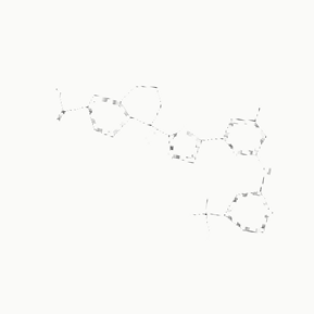 Cc1cc(Nc2cc(C(F)(F)F)ccn2)nc(-c2cnc([C@]3(O)CCCc4cc(C(N)=O)ccc43)s2)c1